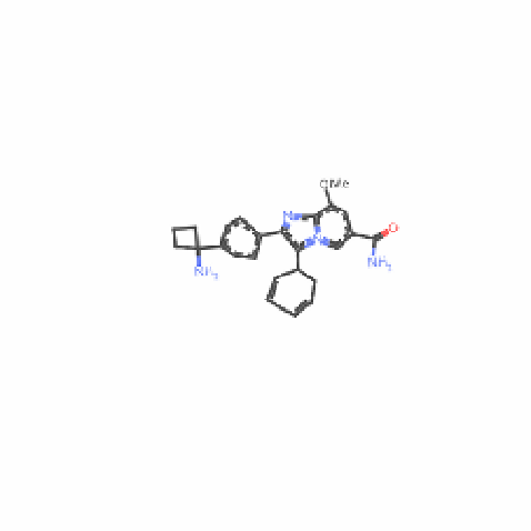 COc1cc(C(N)=O)cn2c(C3C=CC=CC3)c(-c3ccc(C4(N)CCC4)cc3)nc12